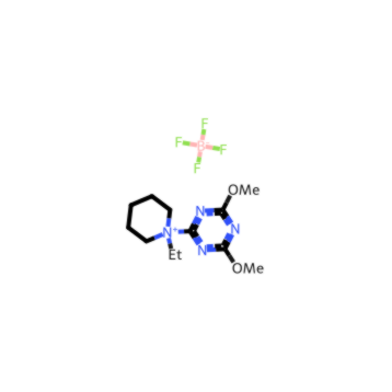 CC[N+]1(c2nc(OC)nc(OC)n2)CCCCC1.F[B-](F)(F)F